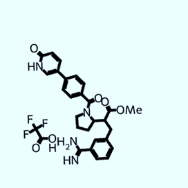 COC(=O)C(Cc1cccc(C(=N)N)c1)C1CCCN1C(=O)c1ccc(-c2ccc(=O)[nH]c2)cc1.O=C(O)C(F)(F)F